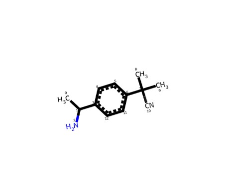 CC(N)c1ccc(C(C)(C)C#N)cc1